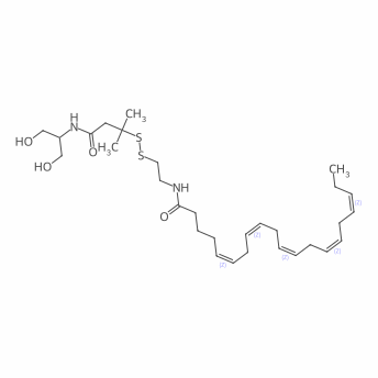 CC/C=C\C/C=C\C/C=C\C/C=C\C/C=C\CCCC(=O)NCCSSC(C)(C)CC(=O)NC(CO)CO